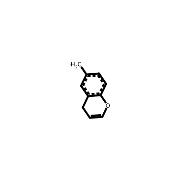 [CH2]c1ccc2c(c1)CC=CO2